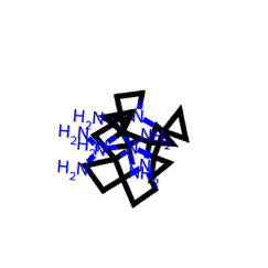 NN(N)C(N)(N)C1(N)CCN1C1(C2(N3CCC34CCC43CCN3C3(C4(N)CC4)CC3)CC2)CC1